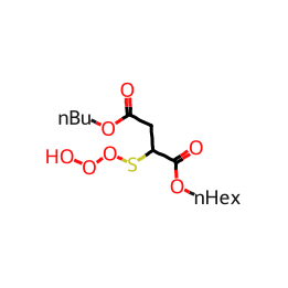 CCCCCCOC(=O)C(CC(=O)OCCCC)SOOO